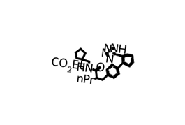 CCCC(Cc1ccc(-c2ccccc2-c2nnn[nH]2)cc1)C(=O)NCC1(C(=O)OCC)CCCC1